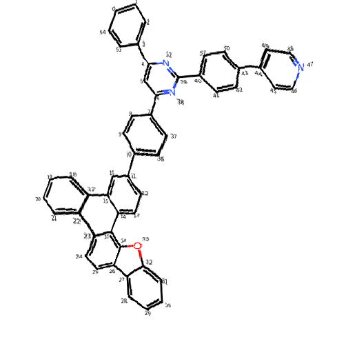 c1ccc(-c2cc(-c3ccc(-c4ccc5c(c4)c4ccccc4c4ccc6c7ccccc7oc6c45)cc3)nc(-c3ccc(-c4ccncc4)cc3)n2)cc1